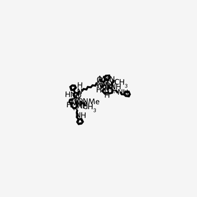 CN[C@@H](C)C(=O)N[C@@H]1C(=O)N2[C@@H](CC[C@@H]1CCNCc1ccccc1)CC[C@H]2C(=O)NC(C(=O)NCCCCCCCCNC(=O)[C@@H](NC(=O)[C@@H]1CC[C@@H]2CC[C@H](CCNCc3ccccc3)[C@H](NC(=O)[C@H](C)NC)C(=O)N21)c1ccccc1)c1ccccc1